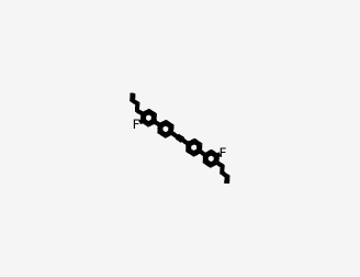 C=CCCc1ccc(-c2ccc(C#Cc3ccc(-c4ccc(CCC=C)c(F)c4)cc3)cc2)cc1F